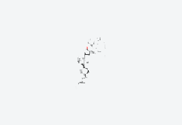 CCN(CC)Cc1sc(-c2nc(-c3ccc(CCNC)cc3)no2)cc1C